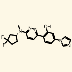 CN(c1ccc(-c2ccc(-n3ccnc3)cc2O)nn1)[C@@H]1CCC(F)(F)C1